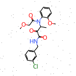 COCC(=O)N(c1ccccc1OC)C(C)C(=O)C(=O)NCc1cccc(Cl)c1